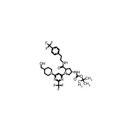 CC(C)(C)OC(=O)N[C@@H]1CC(C(=O)NCCc2ccc(C(F)(F)F)cc2)N(c2cc(N3CCC(CO)CC3)nc(C(F)(F)F)n2)C1